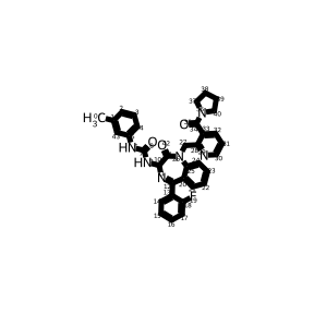 Cc1cccc(NC(=O)NC2N=C(c3ccccc3F)c3ccccc3N(Cc3ncccc3C(=O)N3CCCC3)C2=O)c1